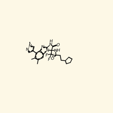 Cc1cc2c(nc3n2C(NC(=O)CCC2CCCC2)(C(F)(F)F)C(=O)N3)c(-c2cnn(C)c2)c1C